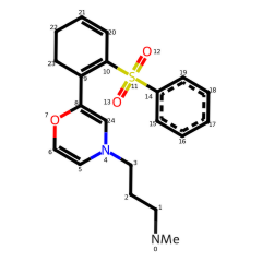 CNCCCN1C=COC(C2=C(S(=O)(=O)c3ccccc3)C=CCC2)=C1